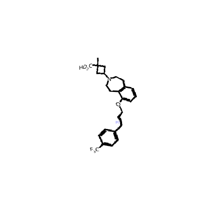 CC1(C(=O)O)CC(N2CCc3cccc(OC/C=C/c4ccc(C(F)(F)F)cc4)c3CC2)C1